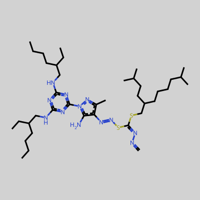 C=N/N=C(/SCC(CCCCC(C)C)CCC(C)C)S/N=N/c1c(C)nn(-c2nc(NCC(CC)CCCC)nc(NCC(CC)CCCC)n2)c1N